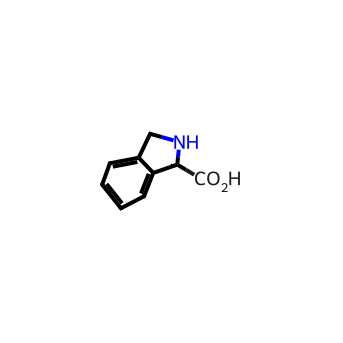 O=C(O)[C]1NCc2ccccc21